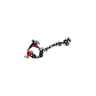 O=C(NCCOCCOCCOCCn1cc(COc2ccc([N+](=O)[O-])c3nonc23)nn1)c1cc2cccc3c2cc1SSc1ccc2c(c1)C1c4ccc(cc4C2C(C(=O)O)C1C(=O)O)SSc1ccc2c(c1)C1c4ccc(cc4C2C(C(=O)O)C1C(=O)O)SS3